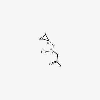 CC(=O)C[C@H](O)C[C@H]1CO1